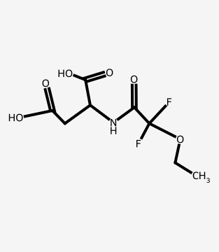 CCOC(F)(F)C(=O)NC(CC(=O)O)C(=O)O